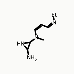 CC/N=C\C=C/N(C)C1NC1N